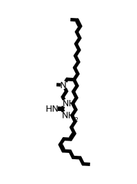 C/C=C\CCCCCCCCC(CCCCCCCC/C=C\C/C=C\CCCCC)CN(C)CCNC(=N)N